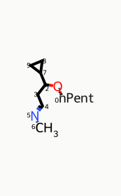 CCCCCOC(CC=NC)C1CC1